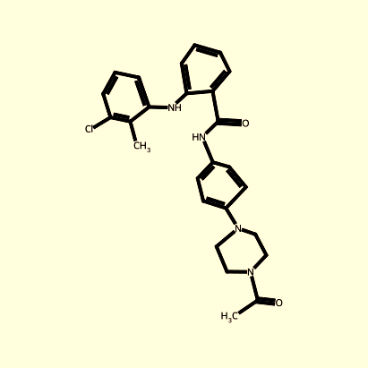 CC(=O)N1CCN(c2ccc(NC(=O)c3ccccc3Nc3cccc(Cl)c3C)cc2)CC1